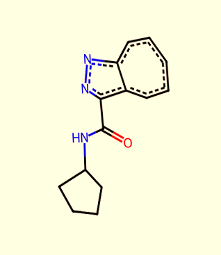 O=C(NC1CCCC1)c1nnc2cccccc1-2